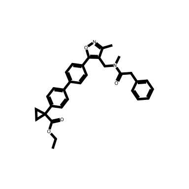 CCOC(=O)C1(c2ccc(-c3ccc(-c4onc(C)c4CN(C)C(=O)Cc4ccccc4)cc3)cc2)CC1